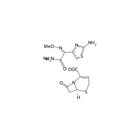 CO/N=C(\C(N)=O)c1csc(N)n1.O=C([O-])C1=CCS[C@H]2CC(=O)N12.[Na+]